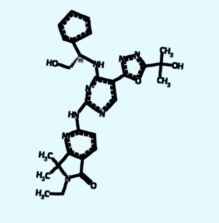 CCN1C(=O)c2ccc(Nc3ncc(-c4nnc(C(C)(C)O)o4)c(N[C@H](CO)c4ccccc4)n3)nc2C1(C)C